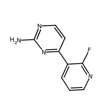 Nc1nccc(-c2cccnc2F)n1